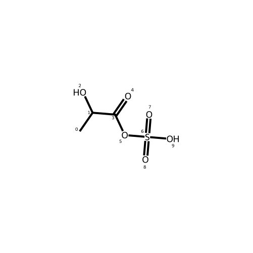 CC(O)C(=O)OS(=O)(=O)O